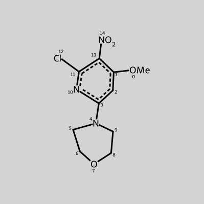 COc1cc(N2CCOCC2)nc(Cl)c1[N+](=O)[O-]